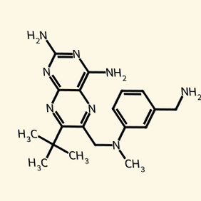 CN(Cc1nc2c(N)nc(N)nc2nc1C(C)(C)C)c1cccc(CN)c1